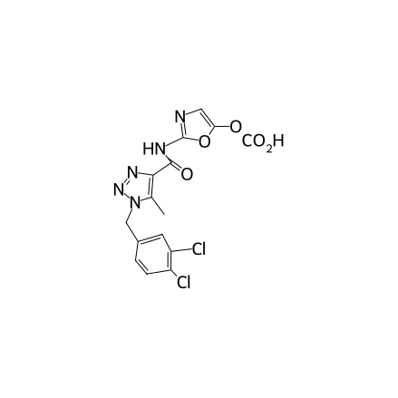 Cc1c(C(=O)Nc2ncc(OC(=O)O)o2)nnn1Cc1ccc(Cl)c(Cl)c1